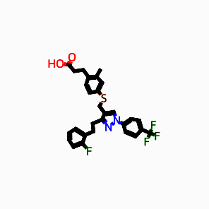 Cc1cc(SCc2cn(-c3ccc(C(F)(F)F)cc3)nc2CCc2ccccc2F)ccc1CCC(=O)O